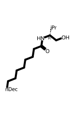 CCCCCCCCCCCCCCCCCC(=O)N[C@@H](CO)C(C)C